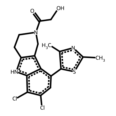 Cc1nc(C)c(-c2cc(Cl)c(Cl)c3[nH]c4c(c23)CN(C(=O)CO)CC4)s1